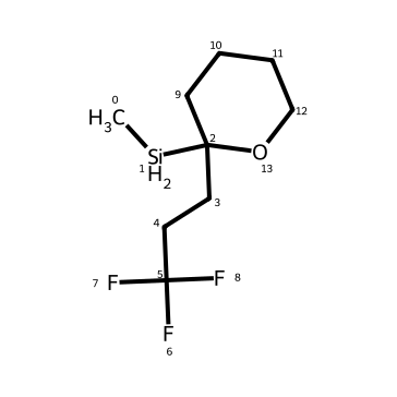 C[SiH2]C1(CCC(F)(F)F)CCCCO1